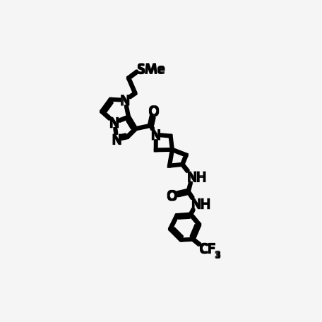 CSCCn1ccn2ncc(C(=O)N3CC4(CC(NC(=O)Nc5cccc(C(F)(F)F)c5)C4)C3)c12